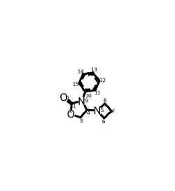 O=C1OCC(N2CCC2)N1c1ccccc1